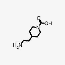 NCCC1CCN(C(=O)O)CC1